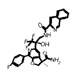 C[C@]1(C(N)=O)COc2c1cc([C@@](O)(CNC(=O)c1cc3ccccc3cn1)C(F)(F)F)nc2-c1ccc(F)cc1